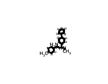 C/N=C(\C=C(/N)C1=CCC(C)C=C1)c1ccc(-c2ccccc2)cc1